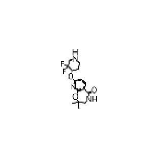 CC1(C)CNC(=O)c2ccc(OC3CCNCC3(F)F)nc2O1